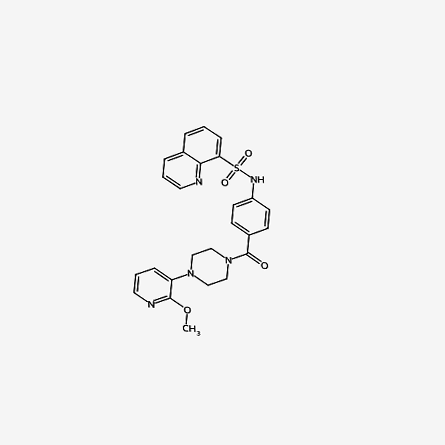 COc1ncccc1N1CCN(C(=O)c2ccc(NS(=O)(=O)c3cccc4cccnc34)cc2)CC1